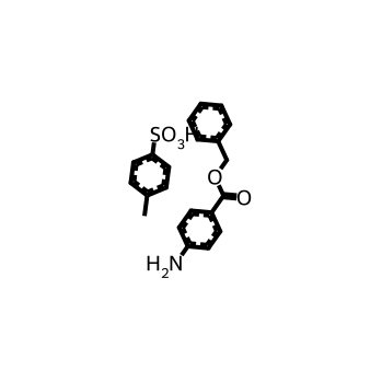 Cc1ccc(S(=O)(=O)O)cc1.Nc1ccc(C(=O)OCc2ccccc2)cc1